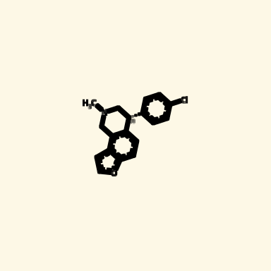 CN1Cc2c(ccc3occc23)[C@@H](c2ccc(Cl)cc2)C1